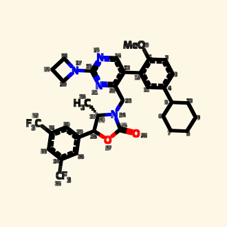 COc1ccc(C2CCCCC2)cc1-c1cnc(N2CCC2)nc1CN1C(=O)OC(c2cc(C(F)(F)F)cc(C(F)(F)F)c2)[C@@H]1C